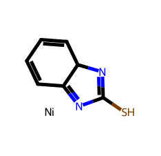 SC1=NC2C=CC=CC2=N1.[Ni]